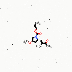 C=CCOC(=O)N1C[C@@H](OC)C[C@H]1/C=C(\C)C(C)=O